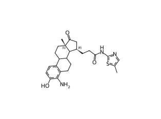 Cc1cnc(NC(=O)CC[C@@H]2CC(=O)[C@@]3(C)CCC4c5ccc(O)c(N)c5CCC4C23)s1